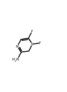 NC1=NC=C(F)N(F)C1